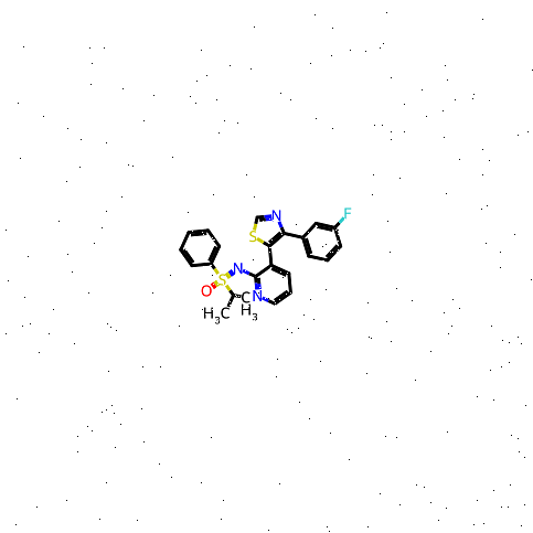 CC(C)S(=O)(=Nc1ncccc1-c1scnc1-c1cccc(F)c1)c1ccccc1